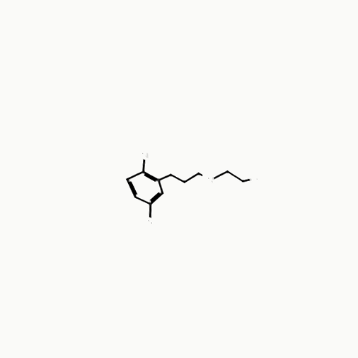 Nc1ccc(N)c(CCCNCCO)c1